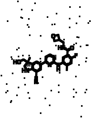 Cc1cc(F)c(C(=O)NCC2COC2)cc1Nc1nccc(-c2cc(C#N)c3c(c2)[C@@](C)(CO)CN3)n1